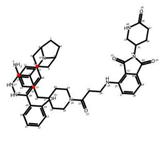 NC1=C(N2CC3CCC(C2)N3c2cccc(CC3CCN(C(=O)CCNc4cccc5c4C(=O)N(C4CCC(=O)NC4)C5=O)CC3)c2)C=C(c2ccccc2O)NN1